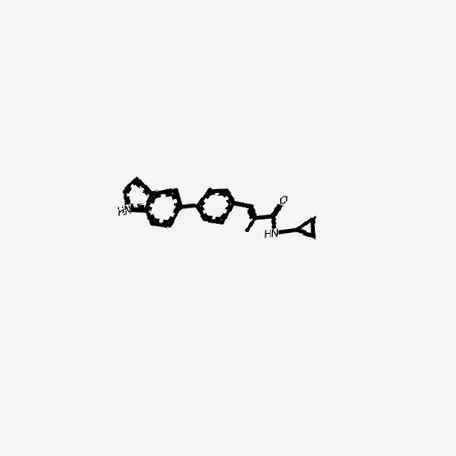 C/C(=C\c1ccc(-c2ccc3[nH]ccc3c2)cc1)C(=O)NC1CC1